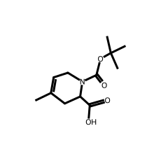 CC1=CCN(C(=O)OC(C)(C)C)C(C(=O)O)C1